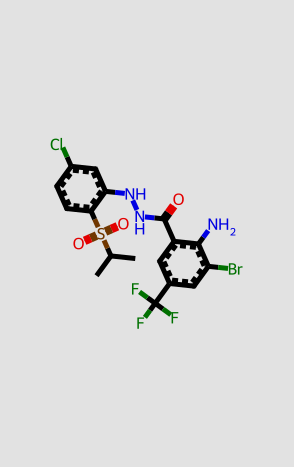 CC(C)S(=O)(=O)c1ccc(Cl)cc1NNC(=O)c1cc(C(F)(F)F)cc(Br)c1N